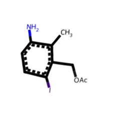 CC(=O)OCc1c(I)ccc(N)c1C